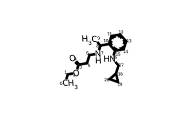 CCOC(=O)CCNC(C)c1ccccc1NCC1CC1